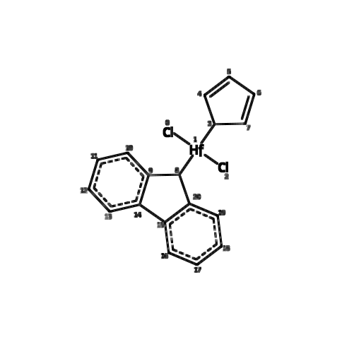 [Cl][Hf]([Cl])([CH]1C=CC=C1)[CH]1c2ccccc2-c2ccccc21